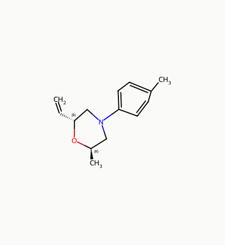 C=C[C@@H]1CN(c2ccc(C)cc2)C[C@@H](C)O1